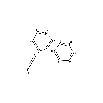 C=S.[Cu].c1ccncc1.c1ccncc1